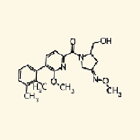 CO/N=C1\CC(CO)N(C(=O)c2ccc(-c3cccc(C)c3C)c(OC)n2)C1